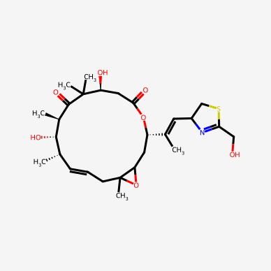 C/C(=C\C1CSC(CO)=N1)[C@@H]1CC2OC2(C)C/C=C/[C@H](C)[C@H](O)[C@@H](C)C(=O)C(C)(C)[C@@H](O)CC(=O)O1